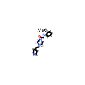 COc1ccccc1NCC(=O)N1CCN(CCc2ccncc2)CC1